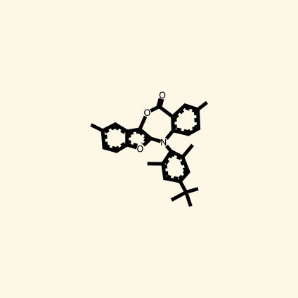 Cc1ccc2c(c1)C(=O)Oc1c(oc3ccc(C)cc13)N2c1c(C)cc(C(C)(C)C)cc1C